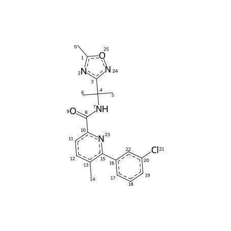 Cc1nc(C(C)(C)NC(=O)c2ccc(C)c(-c3cccc(Cl)c3)n2)no1